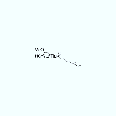 COc1cc(CNC(=O)CCCCCOC(C)C)ccc1O